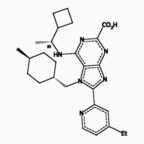 CCc1ccnc(-c2nc3nc(C(=O)O)nc(N[C@H](C)C4CCC4)c3n2C[C@H]2CC[C@H](C)CC2)c1